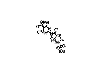 COC(=O)c1ccc(N2C[C@H]3CN(C(=O)OC(C)(C)C)CCC3C2=O)cc1Cl